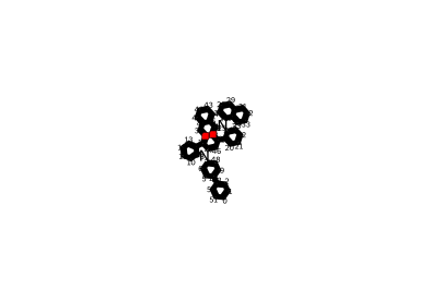 c1ccc(-c2ccc(-n3c4ccccc4c4ccc(-c5ccccc5N(c5cccc6ccccc56)c5cccc6ccccc56)cc43)cc2)cc1